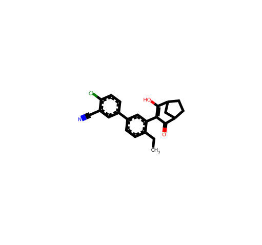 CCc1ccc(-c2ccc(Cl)c(C#N)c2)cc1C1=C(O)C2CCC(C2)C1=O